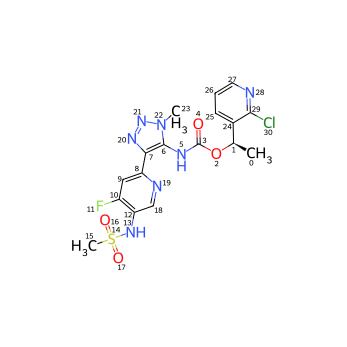 C[C@@H](OC(=O)Nc1c(-c2cc(F)c(NS(C)(=O)=O)cn2)nnn1C)c1cccnc1Cl